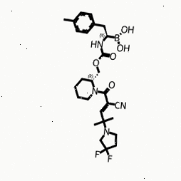 Cc1ccc(C[C@H](NC(=O)OC[C@H]2CCCCN2C(=O)C(C#N)=CC(C)(C)N2CCC(F)(F)C2)B(O)O)cc1